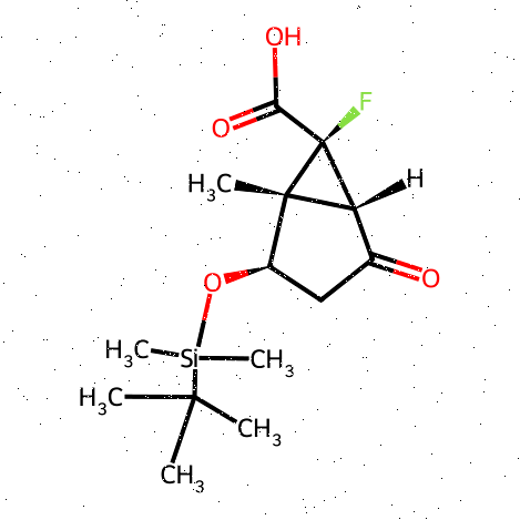 CC(C)(C)[Si](C)(C)O[C@@H]1CC(=O)[C@@H]2[C@@]1(C)[C@]2(F)C(=O)O